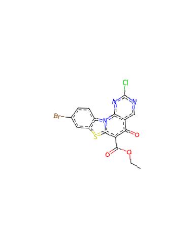 CCOC(=O)c1c(=O)c2cnc(Cl)nc2n2c1sc1cc(Br)ccc12